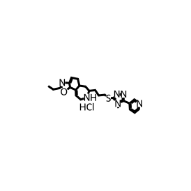 CCC1=NC2=CCC3CC(CCCSc4nnc(-c5cccnc5)n4C)NCC=C3C2O1.Cl